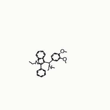 CCn1c(-c2ccccc2)c(C(c2ccc(OC)c(OC)c2)N(C)C)c2ccccc21